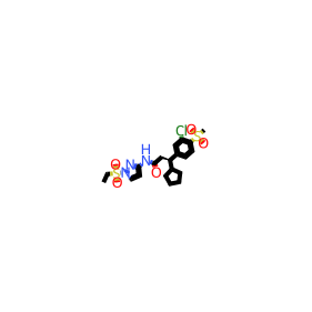 CCS(=O)(=O)n1ccc(NC(=O)C[C@@H](c2ccc(S(C)(=O)=O)c(Cl)c2)C2CCCC2)n1